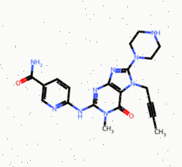 CC#CCn1c(N2CCNCC2)nc2nc(Nc3ccc(C(N)=O)cn3)n(C)c(=O)c21